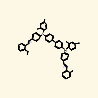 CCc1ccccc1/C=C/c1ccc(N(c2ccc(-c3ccc(N(c4ccc(/C=C/c5ccccc5C)cc4)c4ccc(C)cc4C)cc3)cc2)c2ccc(C)cc2C)cc1